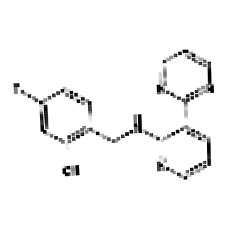 Oc1cc(F)ccc1CNc1ncccc1-c1ncccn1